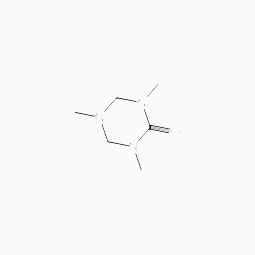 CN1CN(C)C(=O)N(C)C1